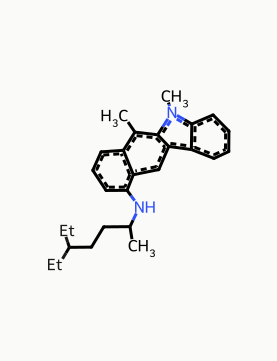 CCC(CC)CCC(C)Nc1cccc2c(C)c3c(cc12)c1ccccc1n3C